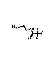 C[CH]CNC(=O)C(F)(F)F